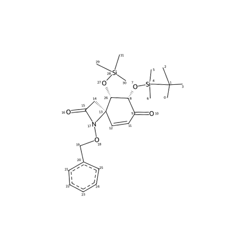 CC(C)(C)[Si](C)(C)O[C@@H]1C(=O)C=C[C@]2(CC(=O)N2OCc2ccccc2)[C@@H]1O[Si](C)(C)C